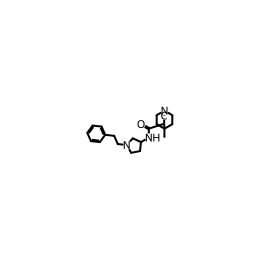 CC12CCN(CC1)CC2C(=O)NC1CCN(CCc2ccccc2)C1